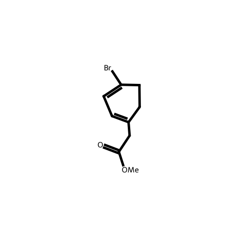 COC(=O)CC1=CC=C(Br)CC1